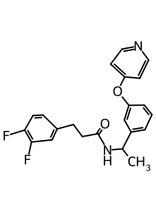 CC(NC(=O)CCc1ccc(F)c(F)c1)c1cccc(Oc2ccncc2)c1